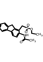 CCOS(=O)(=O)Cc1c(NC(C)=O)ccc2c1Cc1ccccc1-2